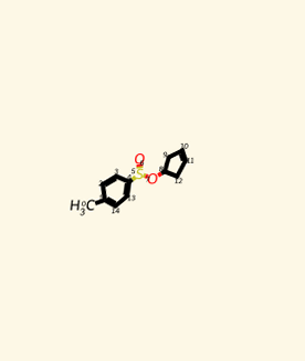 Cc1ccc(S(=O)OC2CC=CC2)cc1